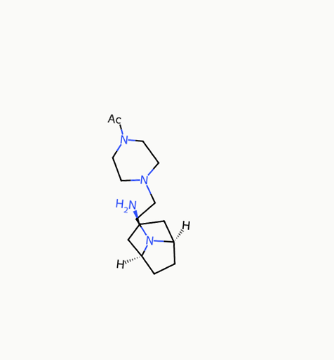 CC(=O)N1CCN(CCN2[C@@H]3CC[C@H]2C[C@@H](N)C3)CC1